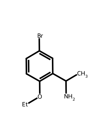 CCOc1ccc(Br)cc1C(C)N